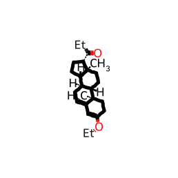 CCOC1=CC2=CC[C@H]3[C@@H]4CC[C@H](C(=O)CC)[C@@]4(C)CC[C@@H]3[C@@]2(C)CC1